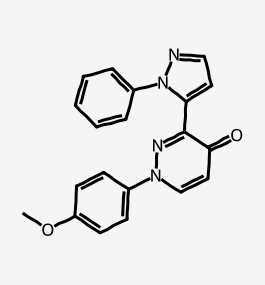 COc1ccc(-n2ccc(=O)c(-c3ccnn3-c3ccccc3)n2)cc1